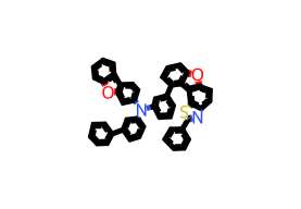 c1ccc(-c2cccc(N(c3cccc(-c4cccc5oc6ccc7nc(-c8ccccc8)sc7c6c45)c3)c3ccc4c(c3)oc3ccccc34)c2)cc1